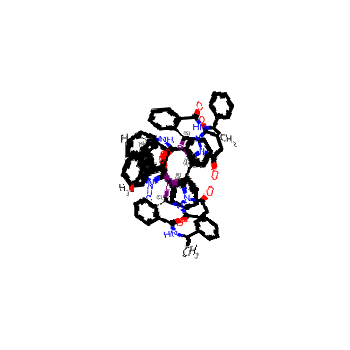 CC(NC(=O)c1ccccc1[C@H]1N2C(=O)CCC(=O)N2[C@H](c2ccccc2C(=O)NC(C)c2ccccc2)P1c1ccccc1P1[C@@H](c2ccccc2C(=O)NC(C)c2ccccc2)N2C(=O)CCC(=O)N2[C@@H]1c1ccccc1C(=O)N[C@@H](C)c1ccccc1)c1ccccc1